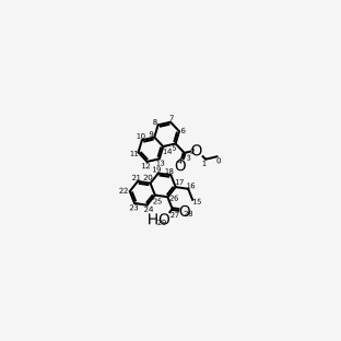 CCOC(=O)c1cccc2ccccc12.CCc1ccc2ccccc2c1C(=O)O